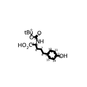 CC(C)(C)OC(=O)NC(CCCc1ccc(O)cc1)C(=O)O